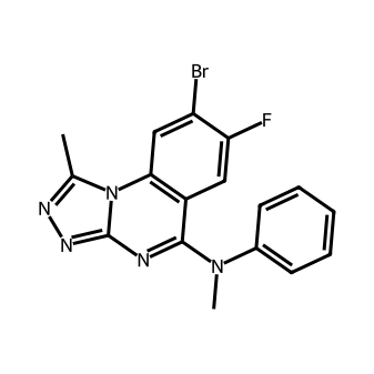 Cc1nnc2nc(N(C)c3ccccc3)c3cc(F)c(Br)cc3n12